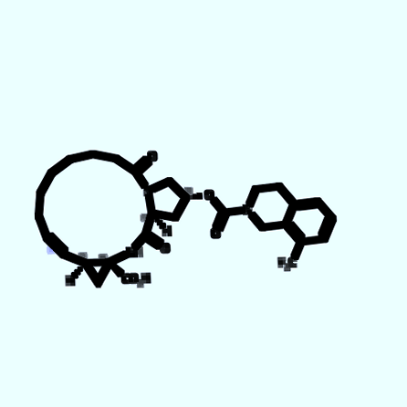 O=C1N[C@]2(C(=O)O)C[C@H]2/C=C\CCCCCCC(=O)N2C[C@H](OC(=O)N3CCc4cccc(C(F)(F)F)c4C3)C[C@@H]12